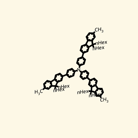 CCCCCCC1(CCCCCC)c2cc(C)ccc2-c2ccc(-c3ccc(N(c4ccc(-c5ccc6c(c5)C(CCCCCC)(CCCCCC)c5cc(C)ccc5-6)cc4)c4ccc(-c5ccc6c(c5)C(CCCCCC)(CCCCCC)c5cc(C)ccc5-6)cc4)cc3)cc21